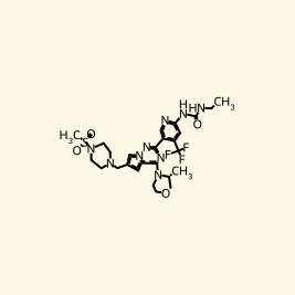 CCNC(=O)Nc1cc(C(F)(F)F)c(-c2nc(N3CCOC[C@@H]3C)c3cc(CN4CCN(S(C)(=O)=O)CC4)cn3n2)cn1